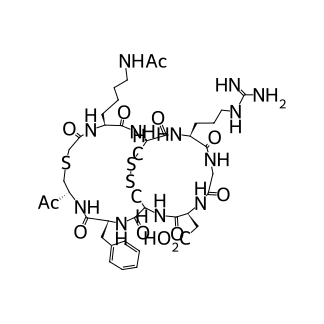 CC(=O)NCCCC[C@@H]1NC(=O)CSC[C@@H](C(C)=O)NC(=O)[C@H](Cc2ccccc2)NC(=O)[C@@H]2CSSC[C@H](NC1=O)C(=O)N[C@@H](CCCNC(=N)N)C(=O)NCC(=O)N[C@@H](CC(=O)O)C(=O)N2